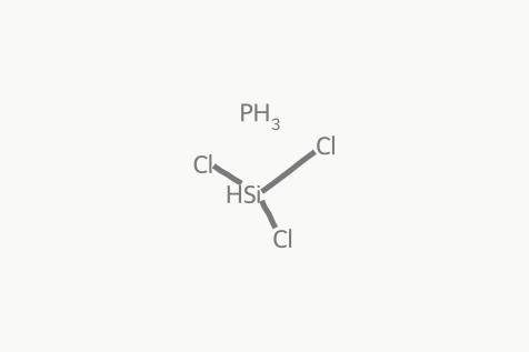 Cl[SiH](Cl)Cl.P